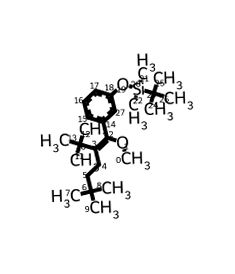 COC(=C(CCC(C)(C)C)C(C)(C)C)c1cccc(O[Si](C)(C)C(C)(C)C)c1